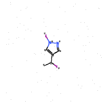 CC(I)c1cnn(I)c1